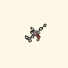 c1ccc(-c2ccc(-c3nc(-c4ccc(-c5ccccc5)cc4)nc(-n4c5ccccc5c5ccc6c7cc(-n8c9ccccc9c9ccccc98)ccc7n(-c7cccc(-c8ccccc8)c7)c6c54)n3)cc2)cc1